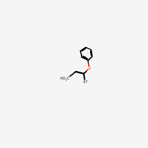 CCC(CC(=O)O)Oc1ccccc1